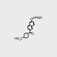 CCCCCCCOc1ccc2cc(C(=O)N3CCC(C(=O)O)CC3)ccc2c1